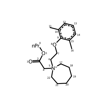 CCCOC(=O)C[N+]1(CCOc2c(C)cccc2C)CCCCCC1